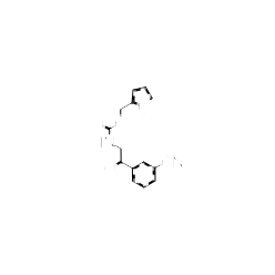 N#Cc1cccc(C(=O)CNC(=O)OCc2ccco2)c1